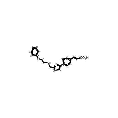 O=C(O)/C=C/c1ccc(-c2cnc(CSCCOc3ccccc3)o2)cc1